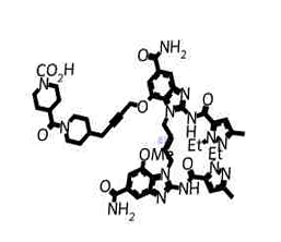 CCn1nc(C)cc1C(=O)Nc1nc2cc(C(N)=O)cc(OC)c2n1C/C=C/Cn1c(NC(=O)c2cc(C)nn2CC)nc2cc(C(N)=O)cc(OCC#CCC3CCN(C(=O)C4CCN(C(=O)O)CC4)CC3)c21